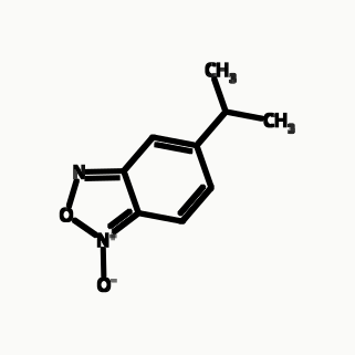 CC(C)c1ccc2c(c1)no[n+]2[O-]